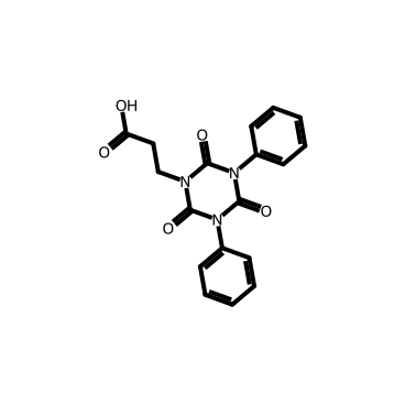 O=C(O)CCn1c(=O)n(-c2ccccc2)c(=O)n(-c2ccccc2)c1=O